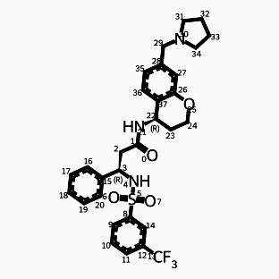 O=C(C[C@@H](NS(=O)(=O)c1cccc(C(F)(F)F)c1)c1ccccc1)N[C@@H]1CCOc2cc(CN3CCCC3)ccc21